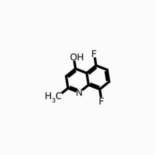 Cc1cc(O)c2c(F)ccc(F)c2n1